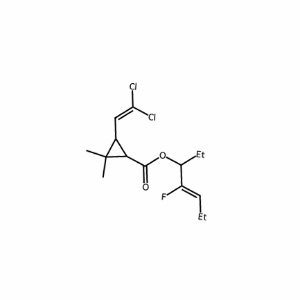 CCC=C(F)C(CC)OC(=O)C1C(C=C(Cl)Cl)C1(C)C